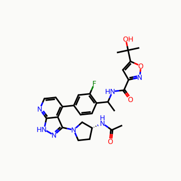 CC(=O)N[C@@H]1CCN(c2n[nH]c3nccc(-c4ccc(C(C)NC(=O)c5cc(C(C)(C)O)on5)c(F)c4)c23)C1